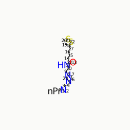 CCCN(C)CCN1CCN(CCNC(=O)CCCCC2CCSS2)C1